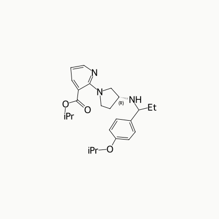 CCC(N[C@@H]1CCN(c2ncccc2C(=O)OC(C)C)C1)c1ccc(OC(C)C)cc1